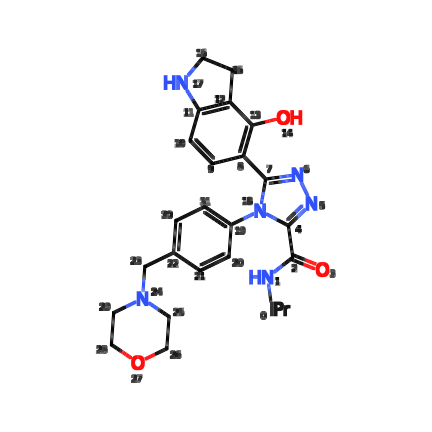 CC(C)NC(=O)c1nnc(-c2ccc3c(c2O)CCN3)n1-c1ccc(CN2CCOCC2)cc1